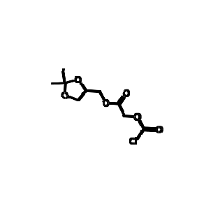 CC1(C)OCC(COC(=O)COC(=O)Cl)O1